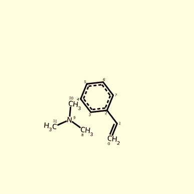 C=Cc1ccccc1.CN(C)C